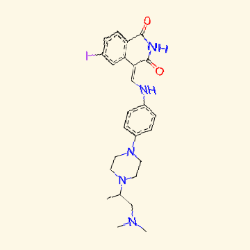 CC(CN(C)C)N1CCN(c2ccc(NC=C3C(=O)NC(=O)c4ccc(I)cc43)cc2)CC1